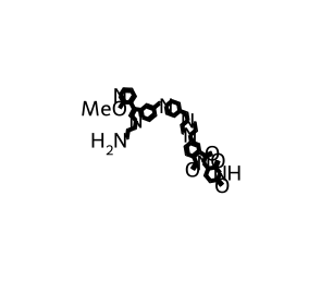 COc1ncccc1-c1cn(CCCN)c2ccc(CN3CCC(CN4CCN(c5ccc6c(c5)C(=O)N(C5CCC(=O)NC5=O)C6=O)CC4)CC3)cc12